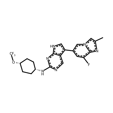 Cc1cn2cc(-c3c[nH]c4nc(N[C@H]5CC[C@@H](OC(F)(F)F)CC5)ncc34)cc(F)c2n1